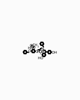 CC(CC(c1ccc(O)cc1)c1ccc(O)cc1)N(Cc1ccccc1)C[C@H](O)COc1ccc(OCc2ccccc2)c(NS(C)(=O)=O)c1